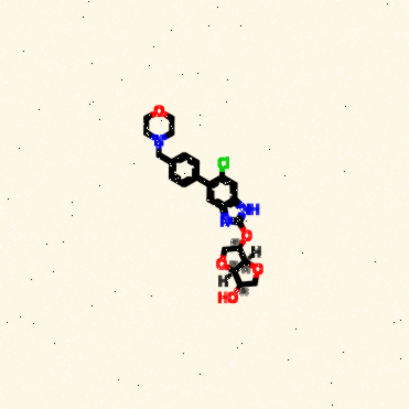 O[C@@H]1CO[C@H]2[C@@H]1OC[C@H]2Oc1nc2cc(-c3ccc(CN4CCOCC4)cc3)c(Cl)cc2[nH]1